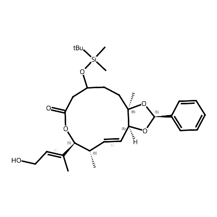 C/C(=C\CO)[C@H]1OC(=O)CC(O[Si](C)(C)C(C)(C)C)CC[C@@]2(C)O[C@@H](c3ccccc3)O[C@H]2/C=C/[C@@H]1C